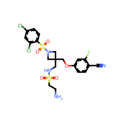 N#Cc1ccc(OCC2(CNS(=O)(=O)CCN)CN(S(=O)(=O)c3ccc(Cl)cc3Cl)C2)cc1F